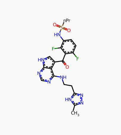 CCCS(=O)(=O)Nc1ccc(F)c(C(=O)c2c[nH]c3ncnc(NCCc4nnc(C)[nH]4)c23)c1F